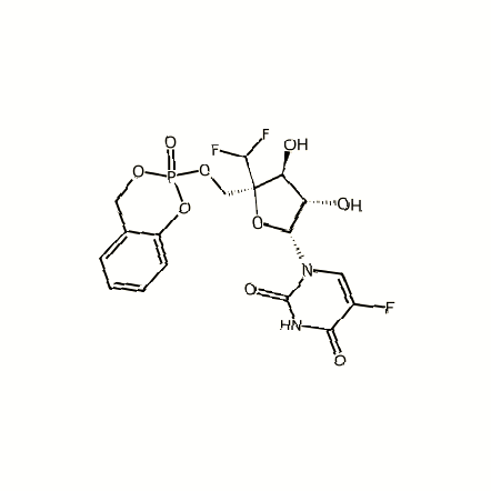 O=c1[nH]c(=O)n([C@@H]2O[C@@](COP3(=O)OCc4ccccc4O3)(C(F)F)[C@@H](O)[C@@H]2O)cc1F